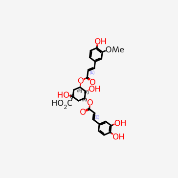 COc1cc(/C=C/C(=O)O[C@@H]2C[C@](O)(C(=O)O)C[C@@H](OC(=O)/C=C/c3ccc(O)c(O)c3)[C@H]2O)ccc1O